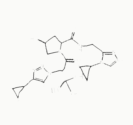 CC(C)(C)[C@@H](C(=O)N1CC(O)CC1C(=O)NCc1nncn1C1CC1)n1cc(C2CC2)nn1